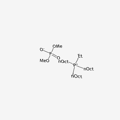 CCCCCCCC[P+](CC)(CCCCCCCC)CCCCCCCC.COP(=O)([O-])OC